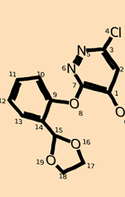 Oc1cc(Cl)nnc1Oc1ccccc1C1OCCO1